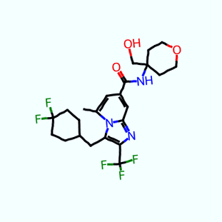 Cc1cc(C(=O)NC2(CO)CCOCC2)cc2nc(C(F)(F)F)c(CC3CCC(F)(F)CC3)n12